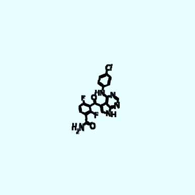 NC(=O)c1ccc(F)c(C(=O)c2c[nH]c3ncnc(Nc4ccc(Cl)cc4)c23)c1F